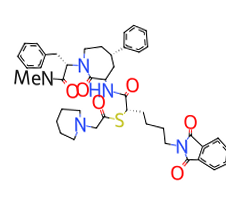 CNC(=O)[C@H](Cc1ccccc1)N1CC[C@H](c2ccccc2)C[C@H](NC(=O)[C@H](CCCCN2C(=O)c3ccccc3C2=O)SC(=O)CN2CCCCC2)C1=O